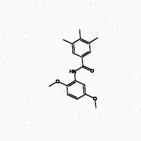 COc1ccc(OC)c(NC(=O)c2cc(C)c(C)c(C)c2)c1